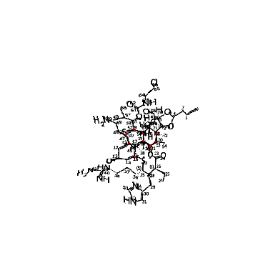 C=CCC1O[C@@H]2C[C@H]3[C@@H]4CCC5=CC(=O)C=C[C@]5(C)[C@@]4(C)[C@@H](OC(=O)[C@@H](CC)[C@@H](Cc4c[nH]cn4)[C@H](CCCNC(=N)N)SC[C@H](CCCCN)[C@H](CC(C)C)NC(=S)[C@@H](OC(=O)NCCCl)C(C)C)C[C@]3(C)[C@]2(C(=O)CO)O1